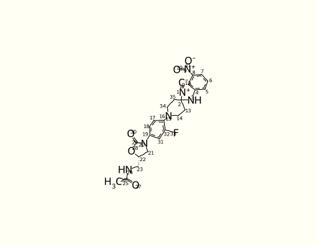 [C-]#[N+]C1(Nc2cccc([N+](=O)[O-])c2)CCN(c2ccc(N3C[C@H](CNC(C)=O)OC3=O)cc2F)CC1